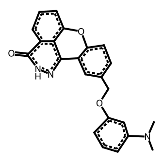 CN(C)c1cccc(OCc2ccc3c(c2)-c2n[nH]c(=O)c4cccc(c24)O3)c1